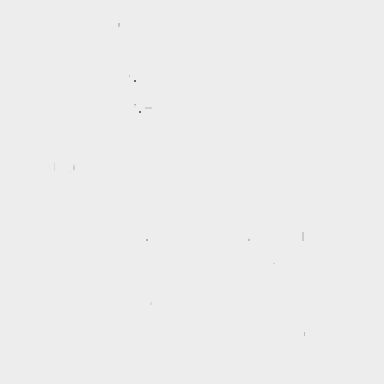 CC1(C)CCC(C)(C)c2cc(C(O)COc3ccc(C(=O)NN4CCOCC4)c(O)c3)ccc21